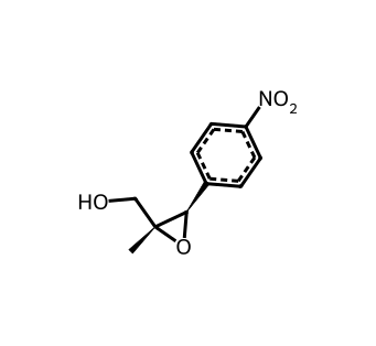 C[C@]1(CO)O[C@@H]1c1ccc([N+](=O)[O-])cc1